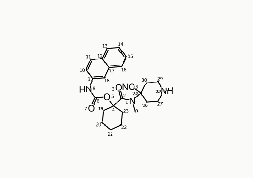 CN(C(=O)C1(OC(=O)Nc2ccc3ccccc3c2)CCCCC1)C1(C#N)CCNCC1